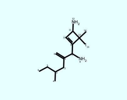 C=C(CC(C)CC)C(N)C1=CC(N)C1(C)I